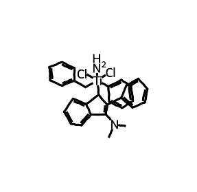 CN(C)C1=C(c2ccccc2)[CH]([Ti]([NH2])([Cl])([Cl])([CH2]c2ccccc2)[c]2ccccc2)c2ccccc21